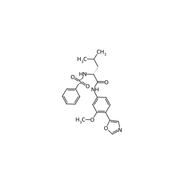 COc1cc(NC(=O)[C@@H](CC(C)C)NS(=O)(=O)c2ccccc2)ccc1-c1cnco1